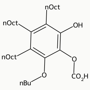 CCCCCCCCc1c(O)c(OC(=O)O)c(OCCCC)c(CCCCCCCC)c1CCCCCCCC